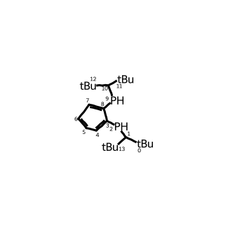 CC(C)(C)C(Pc1ccccc1PC(C(C)(C)C)C(C)(C)C)C(C)(C)C